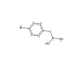 OB(O)Cc1ccc(Br)cc1